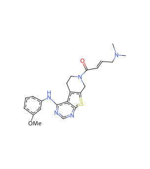 COc1cccc(Nc2ncnc3sc4c(c23)CCN(C(=O)C=CCN(C)C)C4)c1